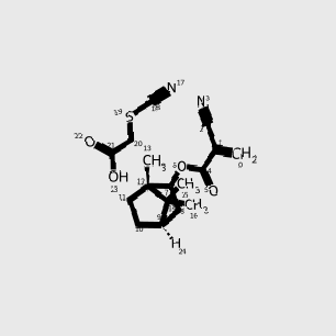 C=C(C#N)C(=O)OC1C[C@H]2CC[C@@]1(C)C2(C)C.N#CSCC(=O)O